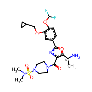 C[C@H](N)c1oc(-c2ccc(OC(F)F)c(OCC3CC3)c2)nc1C(=O)N1CCN(S(=O)(=O)N(C)C)CC1